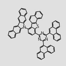 c1ccc2cc3c(cc2c1)c1cc2ccccc2cc1n3-c1ccc(-c2nc(-c3cc4ccccc4c4ccccc34)nc(-c3cc4ccccc4c4ccccc34)n2)c2sc3c4ccccc4ccc3c12